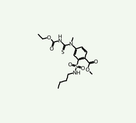 CCCCNS(=O)(=O)c1cc(N(C)C(=S)NC(=O)OCC)ccc1C(=O)OC